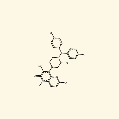 CCC1CN(c2c(C#N)c(=O)n(C)c3ccc(C#N)nc23)CCN1C(c1ccc(Cl)cc1)c1ccc(Cl)cc1